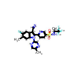 Cc1cnc(-n2c(-c3ccc(S(=O)(=O)N[C@@H](C)C(F)(F)F)cn3)c(C#N)c3cc(F)c(C)cc32)cn1